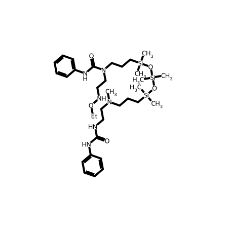 CCONCCN(CCC[Si](C)(C)O[Si](C)(C)O[Si](C)(C)CCCN(C)CCNC(=O)Nc1ccccc1)C(=O)Nc1ccccc1